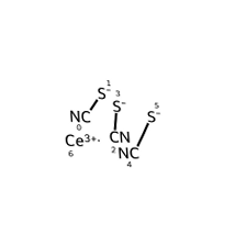 N#C[S-].N#C[S-].N#C[S-].[Ce+3]